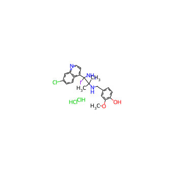 COc1cc(CNC(C)(C)C(N)(I)c2ccnc3cc(Cl)ccc23)ccc1O.Cl.Cl